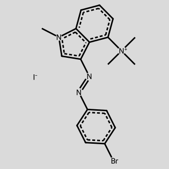 Cn1cc(N=Nc2ccc(Br)cc2)c2c([N+](C)(C)C)cccc21.[I-]